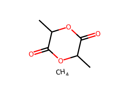 C.CC1OC(=O)C(C)OC1=O